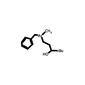 CCCCC(O)CC[As](C)Cc1ccccc1